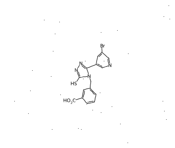 O=C(O)c1cccc(Cn2c(S)nnc2-c2cncc(Br)c2)c1